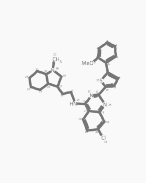 COc1ccccc1-c1ccc(-c2nc(NCCC3CN(C)C4CCCCC34)c3ccc(Cl)cc3n2)s1